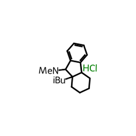 CCC(C)C12CCCCC1c1ccccc1C2NC.Cl